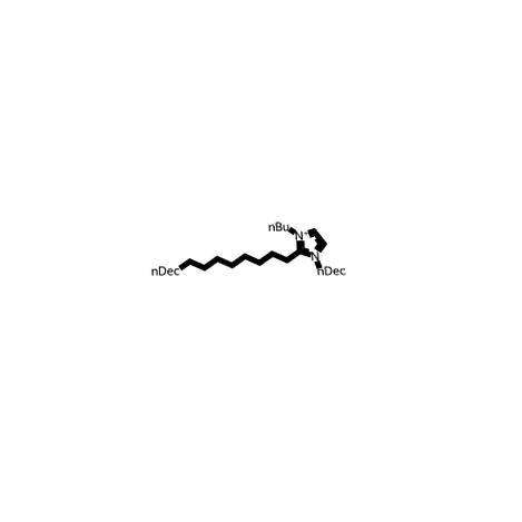 CCCCCCCCCCCCCCCCCCc1n(CCCCCCCCCC)cc[n+]1CCCC